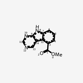 COC(=O)c1cccc2[nH]c3ncncc3c12